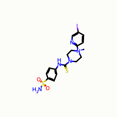 C[N+]1(c2ccc(I)cn2)CCN(C(=S)Nc2ccc(S(N)(=O)=O)cc2)CC1